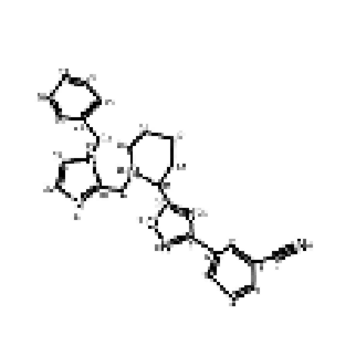 N#Cc1cccc(-c2noc(C3CCCCN3Cc3nccn3Cc3ccccc3)n2)c1